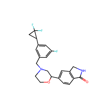 O=C1NCc2cc(C3CN(Cc4cc(F)cc(C5CC5(F)F)c4)CCO3)ccc21